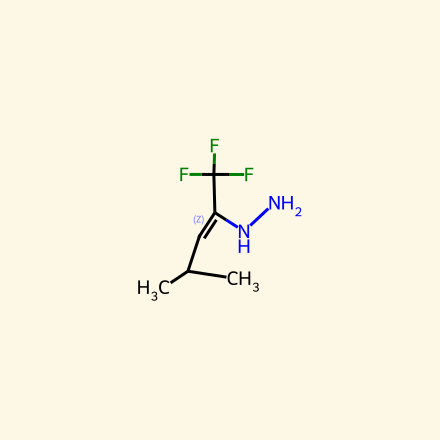 CC(C)/C=C(\NN)C(F)(F)F